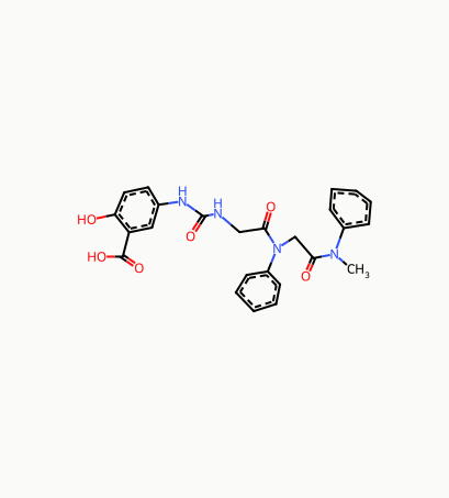 CN(C(=O)CN(C(=O)CNC(=O)Nc1ccc(O)c(C(=O)O)c1)c1ccccc1)c1ccccc1